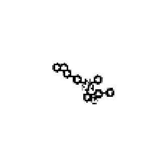 c1ccc(-c2ccc3c(c2)oc2cccc(-c4nc(-c5ccccc5)nc(-c5ccc(-c6ccc7c(ccc8ccccc87)c6)cc5)n4)c23)cc1